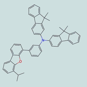 CC(C)c1cccc2c1oc1c(-c3cccc(N(c4ccc5c(c4)C(C)(C)c4ccccc4-5)c4ccc5c(c4)C(C)(C)c4ccccc4-5)c3)cccc12